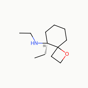 CCN[C@@]1(CC)CCCCC12CCO2